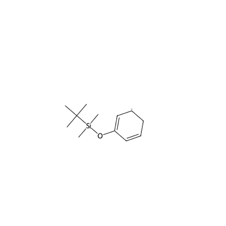 CC(C)(C)[Si](C)(C)OC1=C[CH]CC=C1